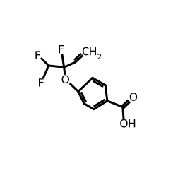 C=CC(F)(Oc1ccc(C(=O)O)cc1)C(F)F